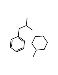 CC(C)Cc1ccccc1.CC1CCCCC1